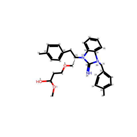 COC(O)CCOC[C@H](Cc1ccc(C)cc1)n1c(=N)n(Cc2ccc(C)cc2)c2ccccc21